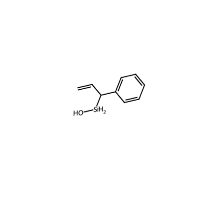 C=CC([SiH2]O)c1ccccc1